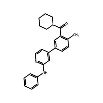 Cc1ccc(-c2ccnc(Nc3ccccc3)c2)cc1C(=O)N1CCCCC1